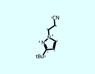 CC(C)(C)c1ccn(CCC#N)n1